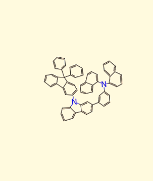 c1ccc(C2(c3ccccc3)c3ccccc3-c3cc(-n4c5ccccc5c5ccc(-c6cccc(N(c7cccc8ccccc78)c7cccc8ccccc78)c6)cc54)ccc32)cc1